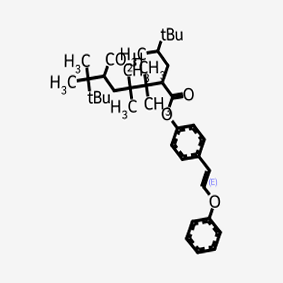 CC(CC(C(=O)Oc1ccc(/C=C/Oc2ccccc2)cc1)C(C)(C)C(C)(C)CC(C(=O)O)C(C)(C)C(C)(C)C)C(C)(C)C